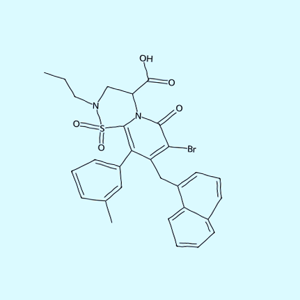 CCCN1CC(C(=O)O)n2c(c(-c3cccc(C)c3)c(Cc3cccc4ccccc34)c(Br)c2=O)S1(=O)=O